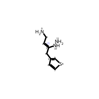 NC/C=C(/Cc1ccsc1)NN